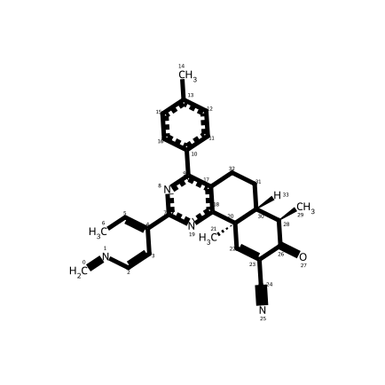 C=N/C=C\C(=C/C)c1nc(-c2ccc(C)cc2)c2c(n1)[C@]1(C)C=C(C#N)C(=O)[C@H](C)[C@H]1CC2